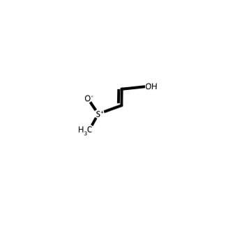 C[S+]([O-])C=CO